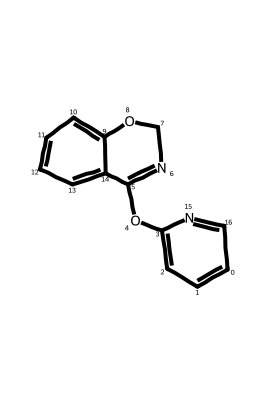 c1ccc(OC2=NCOc3ccccc32)nc1